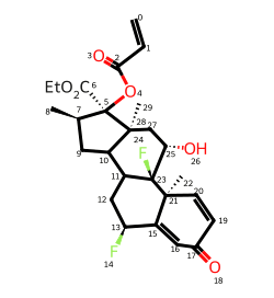 C=CC(=O)O[C@]1(C(=O)OCC)[C@H](C)CC2C3C[C@H](F)C4=CC(=O)C=C[C@]4(C)[C@@]3(F)[C@@H](O)C[C@@]21C